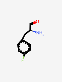 N[C@H](C=O)Cc1ccc(F)cc1